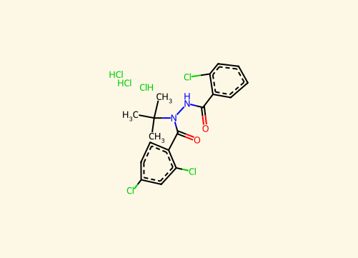 CC(C)(C)N(NC(=O)c1ccccc1Cl)C(=O)c1ccc(Cl)cc1Cl.Cl.Cl.Cl